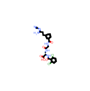 N#C/N=C(\N)CCc1cccc(C(=O)NCC(=O)NC[C@H](NC(=O)c2c(Cl)cccc2Cl)C(=O)O)c1